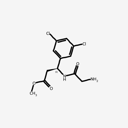 COC(=O)C[C@H](NC(=O)CN)c1cc(Cl)cc(Cl)c1